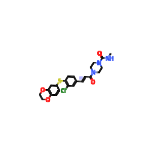 CNC(=O)N1CCN(C(=O)/C=C/c2ccc(Sc3ccc4c(c3)OCCO4)c(Cl)c2)CC1